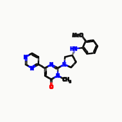 COc1ccccc1N[C@@H]1CCN(c2nc(-c3ccncn3)cc(=O)n2C)C1